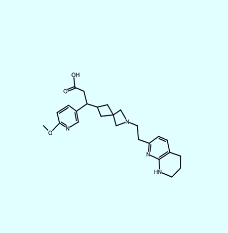 COc1ccc(C(CC(=O)O)C2CC3(C2)CN(CCc2ccc4c(n2)NCCC4)C3)cn1